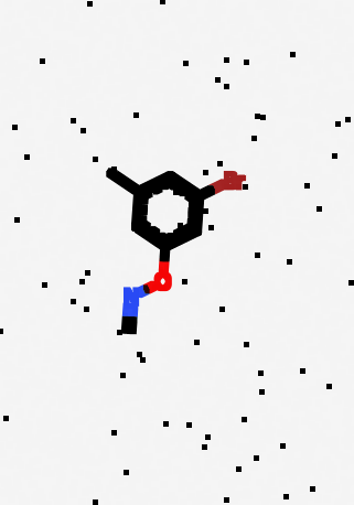 C=NOc1cc(C)cc(Br)c1